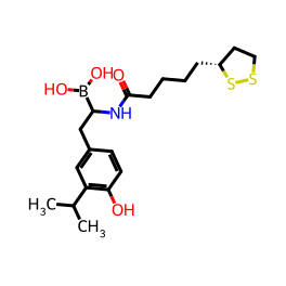 CC(C)c1cc(CC(NC(=O)CCCC[C@@H]2CCSS2)B(O)O)ccc1O